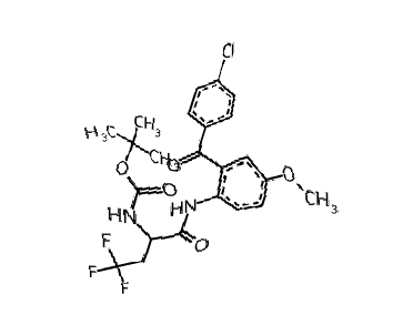 COc1ccc(NC(=O)C(CC(F)(F)F)NC(=O)OC(C)(C)C)c(C(=O)c2ccc(Cl)cc2)c1